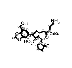 CCCCN(CCN)C(=O)CN1C[C@H](c2cc(CO)c3c(c2)OCO3)[C@@H](C(=O)O)[C@@H]1CN1CCCC1=O